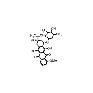 COc1cccc2c1C(=O)c1c(O)c3c(c(O)c1C2=O)C[C@@](O)(C(C)O)C[C@@H]3OC1CC(C)C(O)C(C)O1